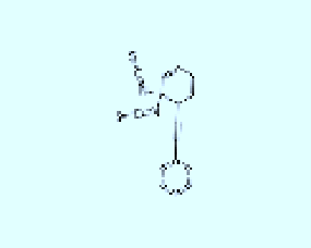 S=C=NC1(N=C=S)C=CC=CC1C#Cc1ccccc1